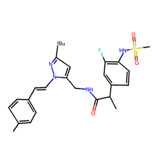 Cc1ccc(C=Cn2nc(C(C)(C)C)cc2CNC(=O)C(C)c2ccc(NS(C)(=O)=O)c(F)c2)cc1